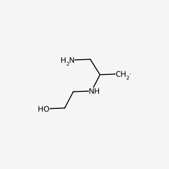 [CH2]C(CN)NCCO